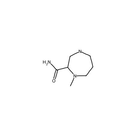 CN1CCC[N]CC1C(N)=O